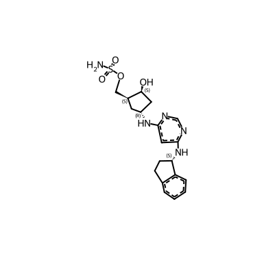 NS(=O)(=O)OC[C@@H]1C[C@@H](Nc2cc(N[C@H]3CCc4ccccc43)ncn2)C[C@@H]1O